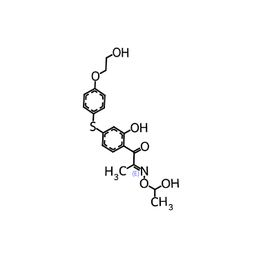 C/C(=N\OC(C)O)C(=O)c1ccc(Sc2ccc(OCCO)cc2)cc1O